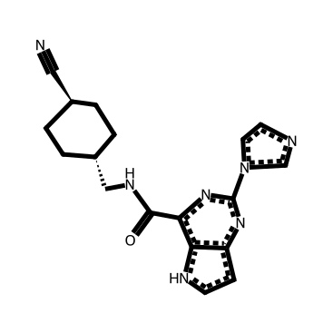 N#C[C@H]1CC[C@H](CNC(=O)c2nc(-n3ccnc3)nc3cc[nH]c23)CC1